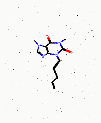 C=CCCCn1c(=O)n(C)c(=O)c2c1ncn2C